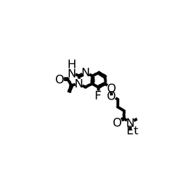 C=c1c(=O)[nH]c2n1Cc1c(ccc(OOCCCC(=O)N(C)CC)c1F)N=2